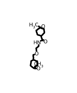 CC12CCC(COCCNC(=O)C3CCC4(C)OC4C3)CC1O2